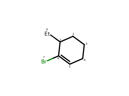 CCC1CCCC=C1Br